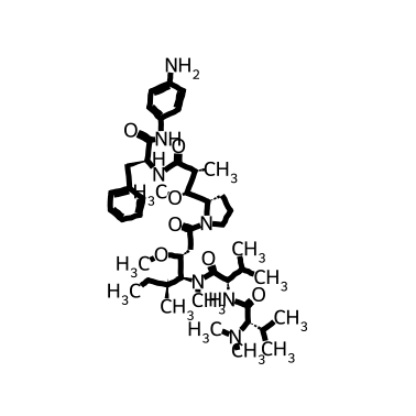 CC[C@H](C)[C@@H]([C@@H](CC(=O)N1CCC[C@H]1[C@H](OC)[C@@H](C)C(=O)N[C@@H](Cc1ccccc1)C(=O)Nc1ccc(N)cc1)OC)N(C)C(=O)[C@@H](NC(=O)[C@H](C(C)C)N(C)C)C(C)C